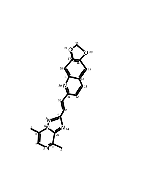 Cc1ncc(C)n2nc(/C=C/c3ccc4cc5c(cc4n3)OCO5)nc12